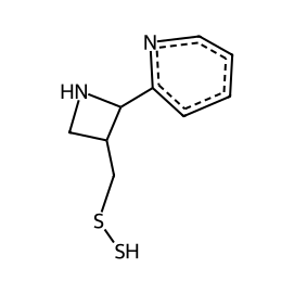 SSCC1CNC1c1ccccn1